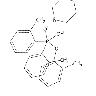 Cc1ccccc1OP(O)(ON1CCCCC1)(c1ccccc1C)c1ccccc1C